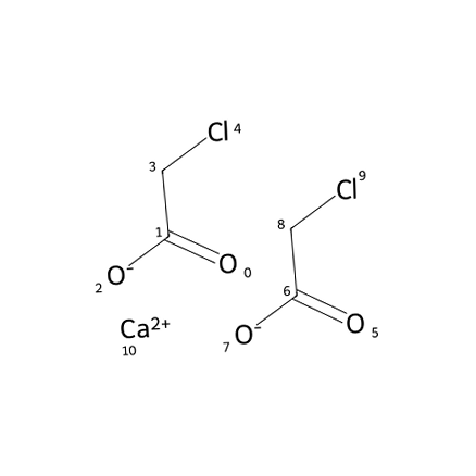 O=C([O-])CCl.O=C([O-])CCl.[Ca+2]